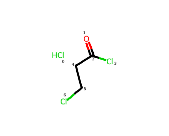 Cl.O=C(Cl)CCCl